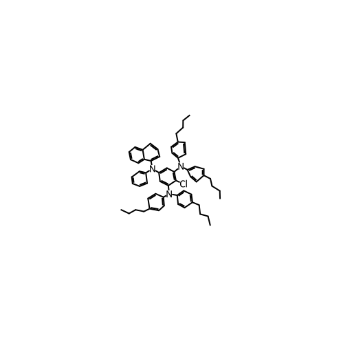 CCCCc1ccc(N(c2ccc(CCCC)cc2)c2cc(N(c3ccccc3)c3cccc4ccccc34)cc(N(c3ccc(CCCC)cc3)c3ccc(CCCC)cc3)c2Cl)cc1